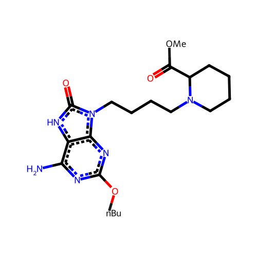 CCCCOc1nc(N)c2[nH]c(=O)n(CCCCN3CCCCC3C(=O)OC)c2n1